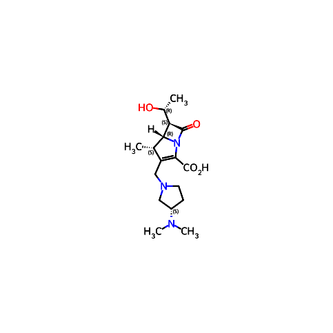 C[C@@H](O)[C@H]1C(=O)N2C(C(=O)O)=C(CN3CC[C@H](N(C)C)C3)[C@H](C)[C@H]12